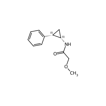 COCC(=O)N[C@H]1C[C@H]1c1ccccc1